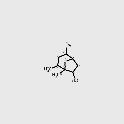 CCC1CC2OC1(C)C(C)CC2C(C)C